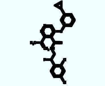 C=C(C)c1nncc(Oc2cccc(C3CC3)c2)c1C(=O)NCC(F)c1ccc(Cl)cc1Cl